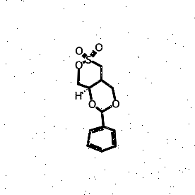 O=S1(=O)CC2COC(c3ccccc3)O[C@H]2CO1